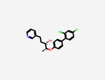 C[C@H](Oc1ccc(-c2ccc(Cl)cc2Cl)cc1)[C@H](O)CCc1cccnc1